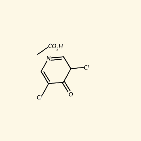 CC(=O)O.O=C1C(Cl)=CN=CC1Cl